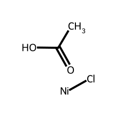 CC(=O)O.[Cl][Ni]